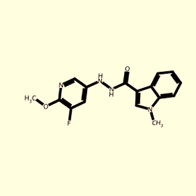 COc1ncc(NNC(=O)c2cn(C)c3ccccc23)cc1F